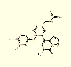 Cn1cc(-c2cc(CN[SH](=O)=O)ccc2Oc2ccc(F)c(F)c2)c2cc[nH]c2c1=O